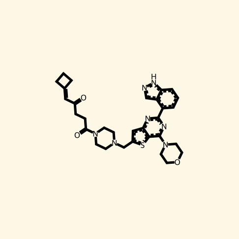 O=C(C=C1CCC1)CCC(=O)N1CCN(Cc2cc3nc(-c4cccc5[nH]ncc45)nc(N4CCOCC4)c3s2)CC1